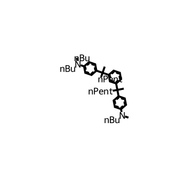 CCCCCC(C)(c1ccc(N(C)CCCC)cc1)c1cccc(C(C)(CCCCC)c2ccc(N(CCCC)CCCC)cc2)c1